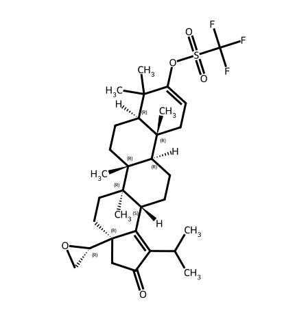 CC(C)C1=C2[C@H]3CC[C@@H]4[C@@]5(C)CC=C(OS(=O)(=O)C(F)(F)F)C(C)(C)[C@@H]5CC[C@@]4(C)[C@]3(C)CC[C@@]2([C@@H]2CO2)CC1=O